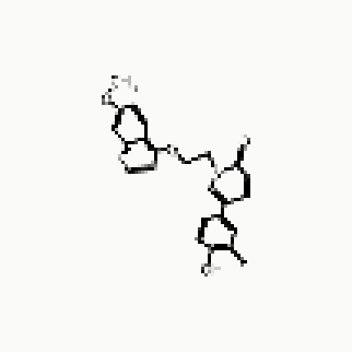 COc1ccc2c(OCCn3cc(-c4ccc(O)c(F)c4)ccc3=O)ccnc2c1